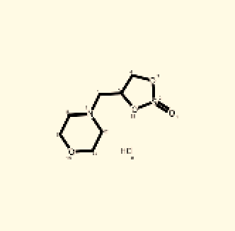 Cl.O=S1OCC(CN2CCOCC2)O1